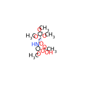 COc1cc(OC)c(/C=C/C(=O)Nc2ccc(OC)c(OC(=O)C(C)O)c2)c(OC)c1